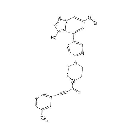 CCOc1cc(-c2ccc(N3CCN(C(=O)C#Cc4cncc(C(F)(F)F)c4)CC3)nc2)c2c(C#N)cnn2c1